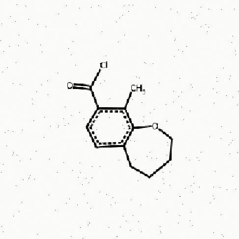 Cc1c(C(=O)Cl)ccc2c1OCCCC2